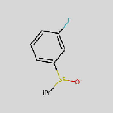 CC(C)[S+]([O-])c1cccc(F)c1